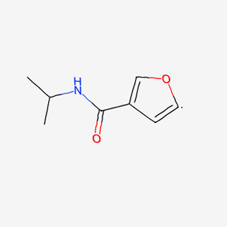 CC(C)NC(=O)c1c[c]oc1